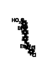 CCn1cc(-c2ccc(Cl)cc2Cl)nc1/C=C/c1ccc(-c2ccc(-c3nc4ccc(C(=O)O)cc4n3CC)cc2)cc1